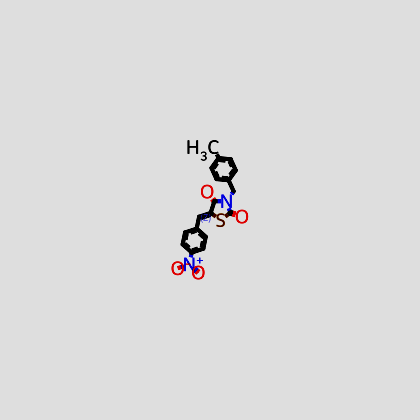 Cc1ccc(CN2C(=O)S/C(=C\c3ccc([N+](=O)[O-])cc3)C2=O)cc1